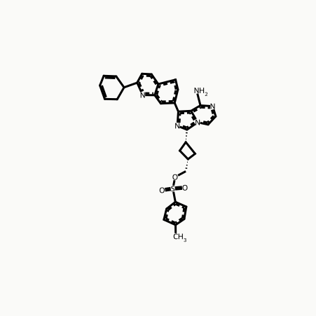 Cc1ccc(S(=O)(=O)OC[C@H]2C[C@@H](c3nc(-c4ccc5ccc(C6C=CC=CC6)nc5c4)c4c(N)nccn43)C2)cc1